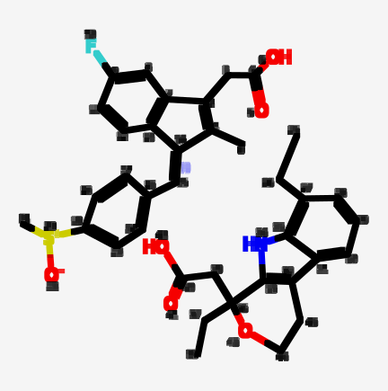 CC1=C(CC(=O)O)c2cc(F)ccc2/C1=C\c1ccc([S+](C)[O-])cc1.CCc1cccc2c3c([nH]c12)C(CC)(CC(=O)O)OCC3